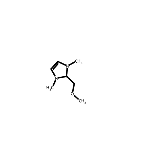 COCC1N(C)C=CN1C